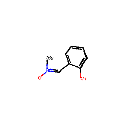 CC(C)(C)/[N+]([O-])=C\c1ccccc1O